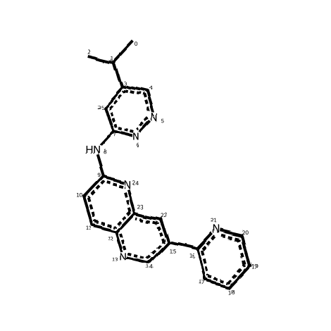 CC(C)c1cnnc(Nc2ccc3ncc(-c4ccccn4)cc3n2)c1